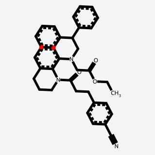 CCOC(=O)CN(CC(c1ccccc1)c1ccccc1)c1cccc2c1N(C(=O)CCc1ccc(C#N)cc1)CCC2